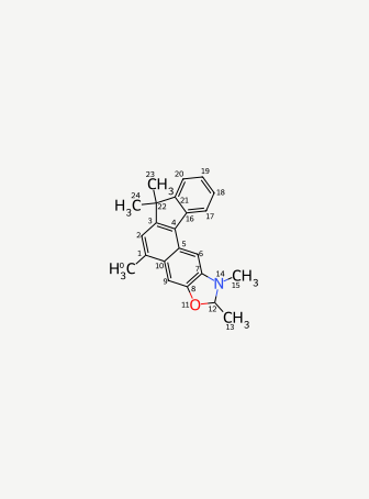 Cc1cc2c(c3cc4c(cc13)OC(C)N4C)-c1ccccc1C2(C)C